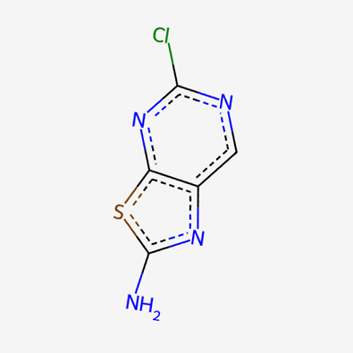 Nc1nc2cnc(Cl)nc2s1